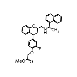 COC(=O)COc1ccc([C@@H]2C[C@H](CN[C@H](C)c3cccc4ccccc34)Oc3ccccc32)cc1F